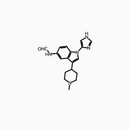 CN1CCC(c2cn(-c3c[nH]cn3)c3ccc(NC=O)cc23)CC1